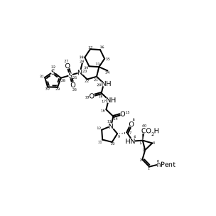 CCCCC/C=C\C1C[C@]1(NC(=O)[C@@H]1CCCN1C(=O)CNC(=O)NC(CN(C)S(=O)(=O)c1cccs1)C1(C)CCCCC1)C(=O)O